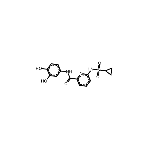 O=C(Nc1ccc(O)c(O)c1)c1cccc(NS(=O)(=O)C2CC2)n1